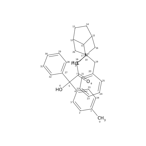 Cc1ccc(C(O)(C(=O)OCC2C3CCC2C[N+](C)(Cc2ccccc2)C3)c2ccccc2)cc1